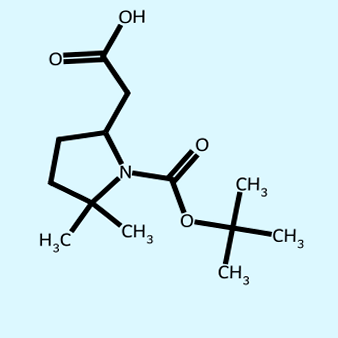 CC(C)(C)OC(=O)N1C(CC(=O)O)CCC1(C)C